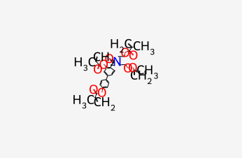 C=C(C)OOCCN(CCOC(=O)C(=C)C)C(=O)c1ccc(-c2ccc(OC(=O)C(=C)C)cc2)cc1OC(=O)C(=C)C